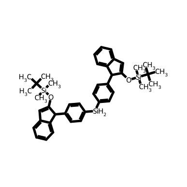 CC(C)(C)[Si](C)(C)OC1=Cc2ccccc2C1c1ccc([SiH2]c2ccc(C3C(O[Si](C)(C)C(C)(C)C)=Cc4ccccc43)cc2)cc1